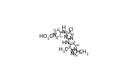 Cc1c(Nc2ncc(Cl)c(NC3CCN(C(=O)O)CC3)n2)ccn2c(C)cnc12